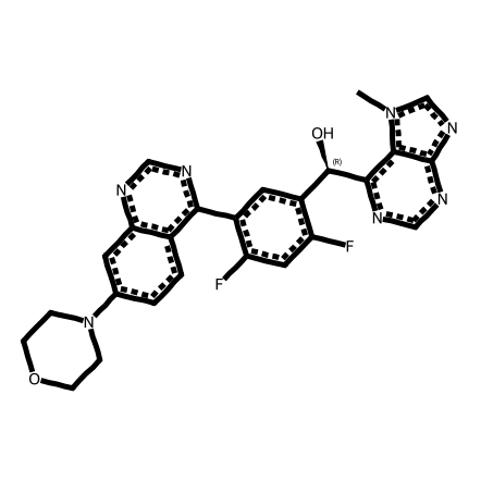 Cn1cnc2ncnc([C@H](O)c3cc(-c4ncnc5cc(N6CCOCC6)ccc45)c(F)cc3F)c21